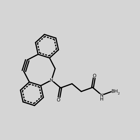 BNC(=O)CCC(=O)N1Cc2ccccc2C#Cc2ccccc21